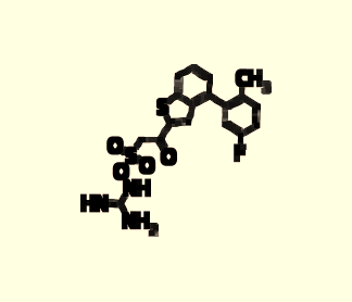 Cc1ccc(F)cc1-c1cccc2sc(C(=O)CS(=O)(=O)ONC(=N)N)cc12